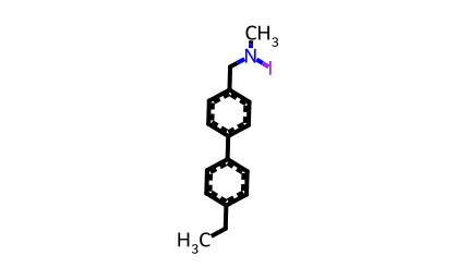 CCc1ccc(-c2ccc(CN(C)I)cc2)cc1